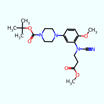 COC(=O)CCN(C#N)c1cc(N2CCN(C(=O)OC(C)(C)C)CC2)ccc1OC